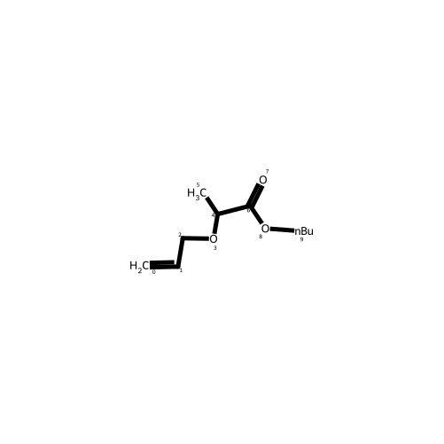 C=CCOC(C)C(=O)OCCCC